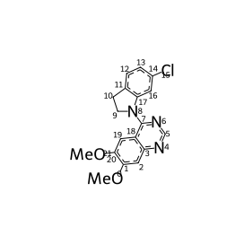 COc1cc2ncnc(N3CCc4ccc(Cl)cc43)c2cc1OC